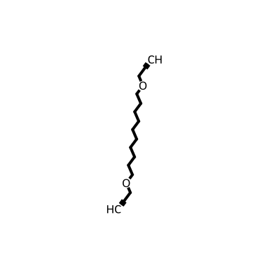 C#CCOCCCCCCCCCCOCC#C